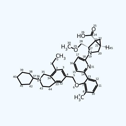 CCc1cc(COc2c(C)cccc2-c2cccc(N3C[C@@H]4C[C@]4(C(=O)O)[C@H]3COC)n2)cc2c1CN(C1CCCCC1)CC2